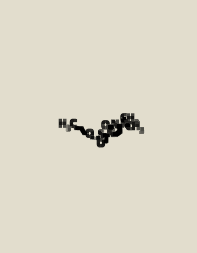 CCCCOC[C@H]1OCC(n2ccc(N(C)C)nc2=O)S1